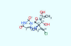 Cc1cc(=O)[nH]c(=O)n1[C@@H]1O[C@H]([C@H](C)O)C(O)[C@]1(N)C#CCl